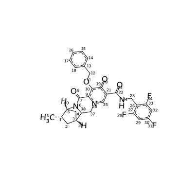 C[C@H]1C[C@@H]2C[C@H]1N1C(=O)c3c(OCc4ccccc4)c(=O)c(C(=O)NCc4c(F)cc(F)cc4F)cn3CC21